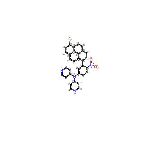 O=[N+]([O-])c1ccc(N(c2ccncc2)c2ccncc2)cc1-c1ccc2ccc3c(Br)ccc4ccc1c2c43